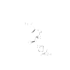 Cc1cc(C(=O)N2C3CNCC2C3)no1